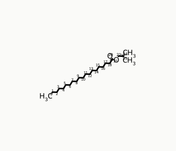 CCCCCCCCCCCCCCCCCCCC(=O)OCC(C)C